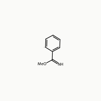 COC(=N)c1[c]cccc1